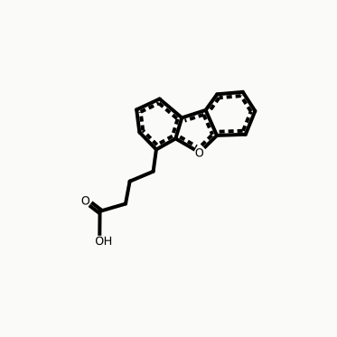 O=C(O)CCCc1cccc2c1oc1ccccc12